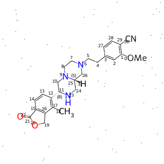 COc1cc(CCN2CCN3C[C@@H](c4ccc5c(c4C)COC5=O)NC[C@H]3C2)ccc1C#N